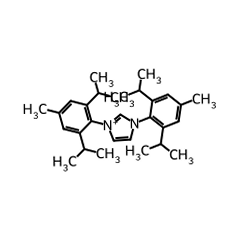 Cc1cc(C(C)C)c(-n2cc[n+](-c3c(C(C)C)cc(C)cc3C(C)C)c2)c(C(C)C)c1